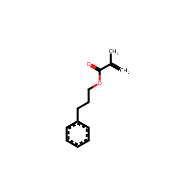 C=C(C)C(=O)OCCCc1c[c]ccc1